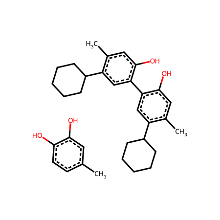 Cc1cc(O)c(-c2cc(C3CCCCC3)c(C)cc2O)cc1C1CCCCC1.Cc1ccc(O)c(O)c1